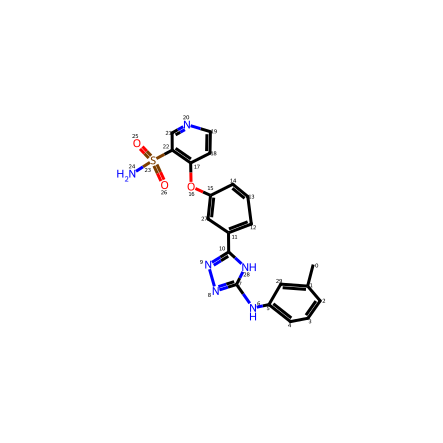 Cc1cccc(Nc2nnc(-c3cccc(Oc4ccncc4S(N)(=O)=O)c3)[nH]2)c1